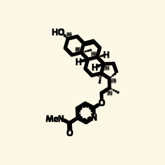 CNC(=O)c1ccc(OC[C@@H](C)[C@H]2CC[C@H]3[C@@H]4CC=C5C[C@@H](O)CC[C@]5(C)[C@H]4CC[C@]23C)nc1